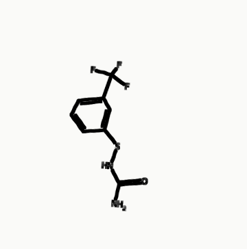 NC(=O)NSc1cccc(C(F)(F)F)c1